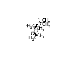 [CH2]C(C)(COC(=O)C(=C)C)COC(=O)C(=C)C